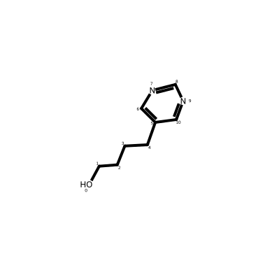 OCCCCc1cncnc1